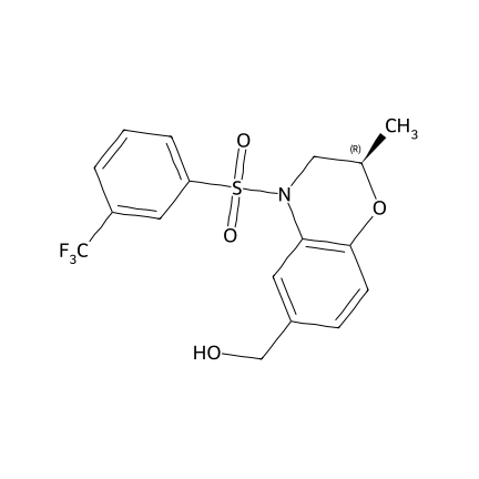 C[C@@H]1CN(S(=O)(=O)c2cccc(C(F)(F)F)c2)c2cc(CO)ccc2O1